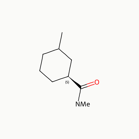 CNC(=O)[C@H]1CCCC(C)C1